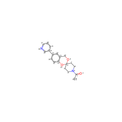 CCC(=O)N1CCC2(CC1)OCc1cc(-c3cccnc3)ccc1O2